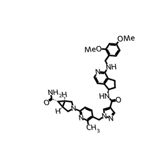 COc1ccc(CNc2nccc3c2CC[C@H]3NC(=O)c2cnn(Cc3ccc(N4C[C@@H]5[C@H](C4)[C@H]5C(N)=O)nc3C)c2)c(OC)c1